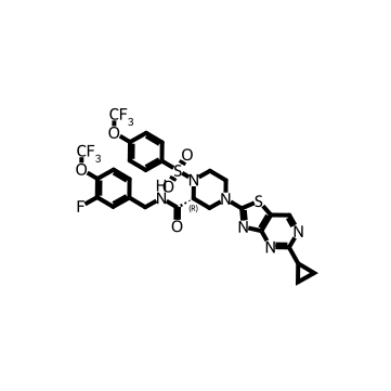 O=C(NCc1ccc(OC(F)(F)F)c(F)c1)[C@H]1CN(c2nc3nc(C4CC4)ncc3s2)CCN1S(=O)(=O)c1ccc(OC(F)(F)F)cc1